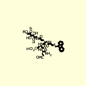 NC(=O)[C@H](CCC=O)NC(=O)[C@H](CCC(=O)O)NC(=O)[C@H](CCC(=O)NC[C@H](O)[C@@H](O)[C@H](O)[C@H](O)CO)NC(=O)CCSCC1c2ccccc2-c2ccccc21